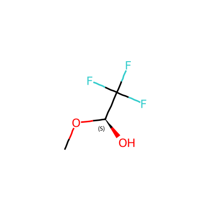 CO[C@H](O)C(F)(F)F